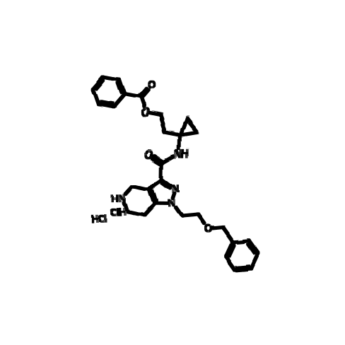 Cl.Cl.O=C(OCCC1(NC(=O)c2nn(CCOCc3ccccc3)c3c2CNCC3)CC1)c1ccccc1